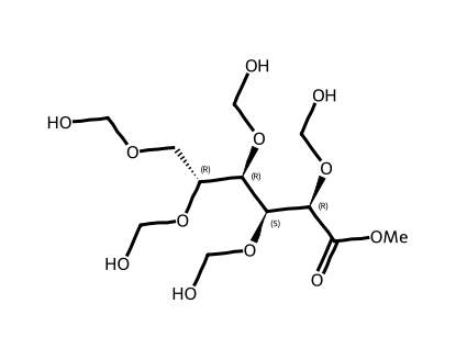 COC(=O)[C@H](OCO)[C@@H](OCO)[C@H](OCO)[C@@H](COCO)OCO